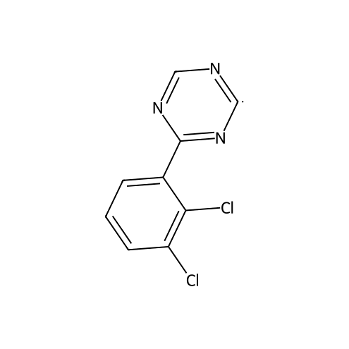 Clc1cccc(-c2n[c]ncn2)c1Cl